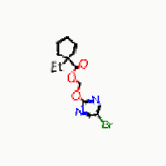 CCC1(C(=O)OCOc2ncc(Br)cn2)CCCCC1